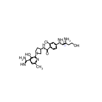 Cc1cc(C(=N)N)c(O)c(N2CCC(NC(=O)c3ccc(N(N)/C=C(\N)CCO)cc3Cl)C2)n1